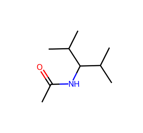 CC(=O)NC(C(C)C)C(C)C